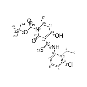 CCc1c(Cl)cccc1NC(=S)C1=C(O)CC(C)N(C(=O)OC(C)(C)C)C1=O